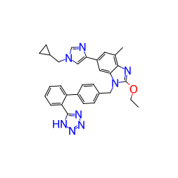 CCOc1nc2c(C)cc(-c3cn(CC4CC4)cn3)cc2n1Cc1ccc(-c2ccccc2-c2nnn[nH]2)cc1